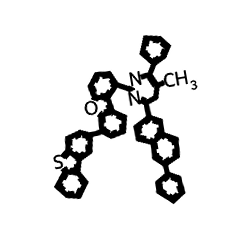 CC1=C(c2ccccc2)N=C(c2cccc3oc4c(-c5ccc6sc7ccccc7c6c5)cccc4c23)N=C(c2ccc3cc(-c4ccccc4)ccc3c2)C1